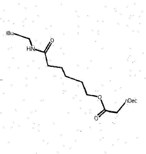 CCCCCCCCCCCC(=O)OCCCCCC(=O)NCC(C)CC